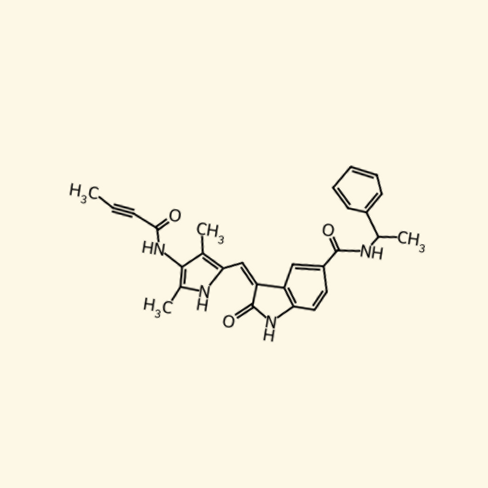 CC#CC(=O)Nc1c(C)[nH]c(C=C2C(=O)Nc3ccc(C(=O)NC(C)c4ccccc4)cc32)c1C